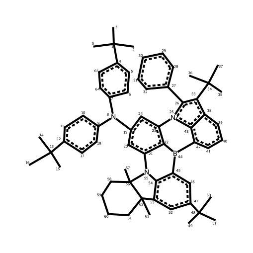 CC(C)(C)c1ccc(N(c2ccc(C(C)(C)C)cc2)c2cc3c4c(c2)-n2c(-c5ccccc5)c(C(C)(C)C)c5cccc(c52)B4c2cc(C(C)(C)C)cc4c2N3C2(C)CCCCC42C)cc1